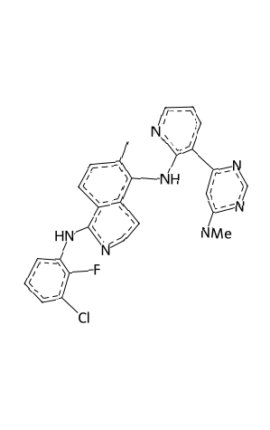 CNc1cc(-c2cccnc2Nc2c(C)ccc3c(Nc4cccc(Cl)c4F)nccc23)ncn1